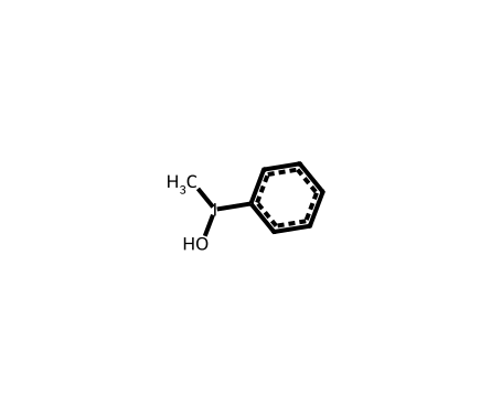 CI(O)c1ccccc1